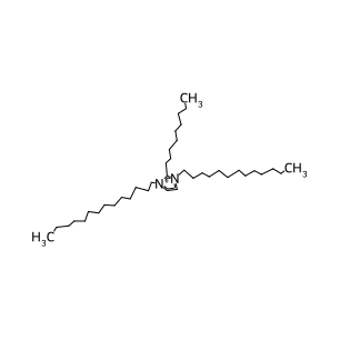 CCCCCCCCCCCCCC[n+]1ccn(CCCCCCCCCCCCC)c1CCCCCCCCC